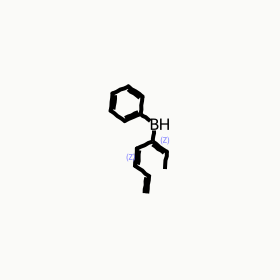 C=C/C=C\C(Bc1ccccc1)=C/C